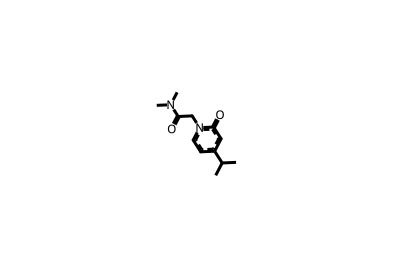 CC(C)c1ccn(CC(=O)N(C)C)c(=O)c1